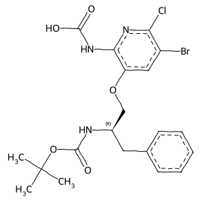 CC(C)(C)OC(=O)N[C@@H](COc1cc(Br)c(Cl)nc1NC(=O)O)Cc1ccccc1